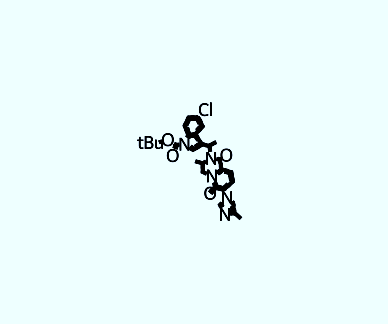 Cc1cn(-c2ccc3n(c2=O)CC(C)N(C(C)c2cn(C(=O)OC(C)(C)C)c4ccc(Cl)cc24)C3=O)cn1